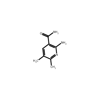 Cc1cc(C(N)=O)c(N)nc1C